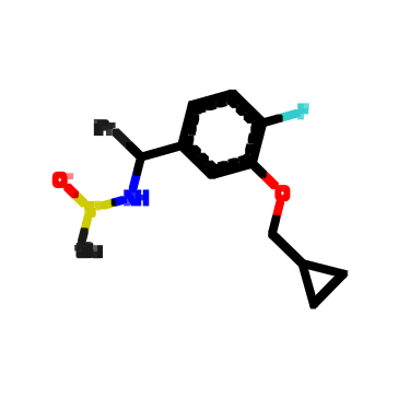 CC(C)C(N[S+]([O-])C(C)(C)C)c1ccc(F)c(OCC2CC2)c1